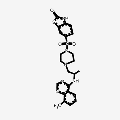 CC(CN1CCN(S(=O)(=O)c2ccc3[nH]c(=O)sc3c2)CC1)Nc1ncnc2c(C(F)(F)F)cccc12